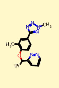 Cc1cc(-c2nnn(C)n2)ccc1OC(c1cccnn1)C(C)C